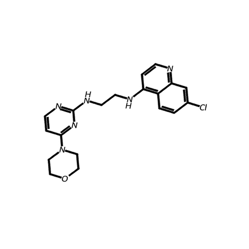 Clc1ccc2c(NCCNc3nccc(N4CCOCC4)n3)ccnc2c1